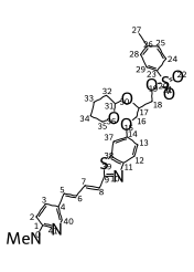 CNc1ccc(C=CC=Cc2nc3ccc(OCC(COS(=O)(=O)c4ccc(C)cc4)OC4CCCCO4)cc3s2)cn1